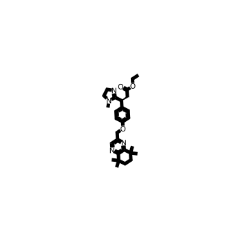 CCOC(=O)C[C@H](C1=NCCN1C)c1ccc(OCc2cnc3c(n2)C(C)(C)CCC3(C)C)cc1